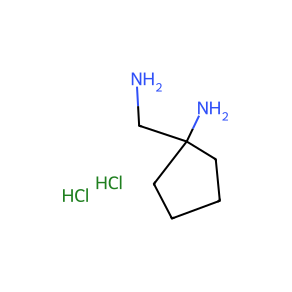 Cl.Cl.NCC1(N)CCCC1